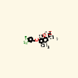 C=C(C=O)[C@@H]1CCc2c(C)cc(OCc3ccc(F)c(Br)c3)c(C)c2[C@@H]1OC